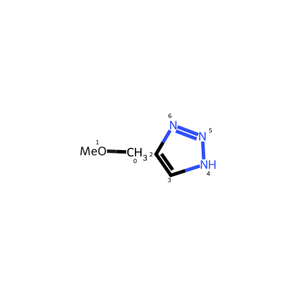 COC.c1c[nH]nn1